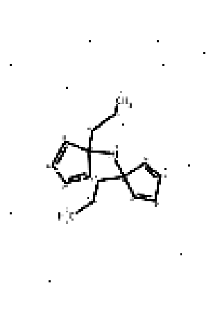 CCC[C]1([Hf][C]2(CCC)C=CC=C2)C=CC=C1